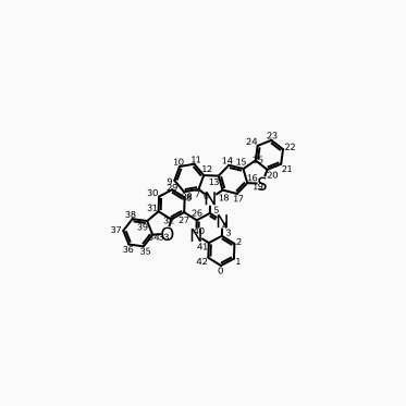 c1ccc2nc(-n3c4ccccc4c4cc5c(cc43)sc3ccccc35)c(-c3cccc4c3oc3ccccc34)nc2c1